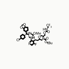 COC(=O)N[C@@H](CNc1cncc(F)c1CCC1CN(C(=O)OC(C)(C)C)C(COC(=O)NCC(F)(F)F)CO1)[C@@H](c1ccc(Cl)cc1)c1ccc2c(c1)OCO2